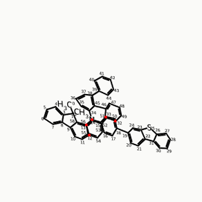 CC1(C)c2ccccc2-c2cccc(N(c3ccc(-c4ccc5c(c4)sc4ccccc45)cc3)c3cccc(-c4ccccc4)c3-c3ccccc3-c3ccccc3)c21